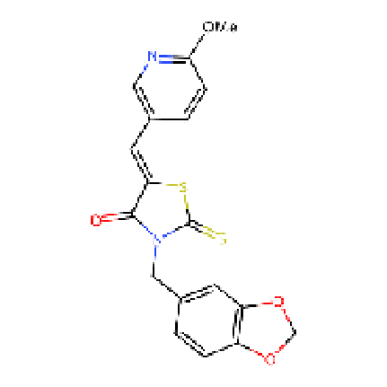 COc1ccc(/C=C2\SC(=S)N(Cc3ccc4c(c3)OCO4)C2=O)cn1